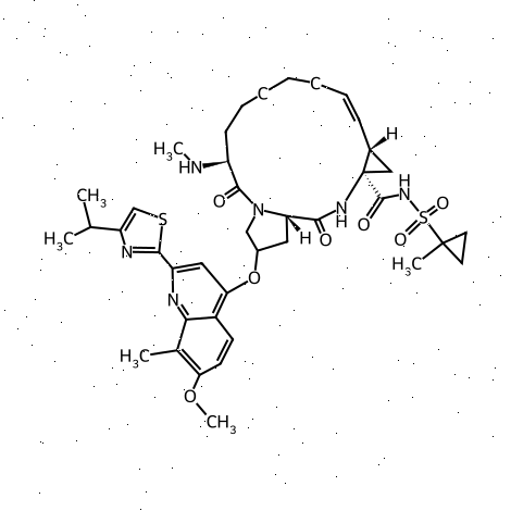 CN[C@H]1CCCCC/C=C\[C@@H]2C[C@@]2(C(=O)NS(=O)(=O)C2(C)CC2)NC(=O)[C@@H]2CC(Oc3cc(-c4nc(C(C)C)cs4)nc4c(C)c(OC)ccc34)CN2C1=O